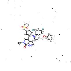 Cn1cc2c3c(c[nH]c3c1=O)C(CCCOc1ccccc1)N(c1ccc(F)cc1F)c1ccc(CS(C)(=O)=O)cc1-2